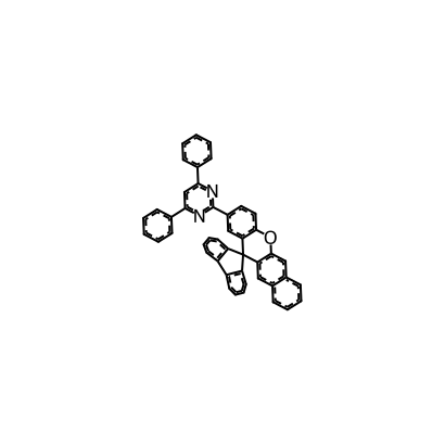 c1ccc(-c2cc(-c3ccccc3)nc(-c3ccc4c(c3)C3(c5cc6ccccc6cc5O4)c4ccccc4-c4ccccc43)n2)cc1